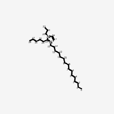 CCCCCCCCCCCCCCCC[n+]1ccn(CCC)c1CCCCC